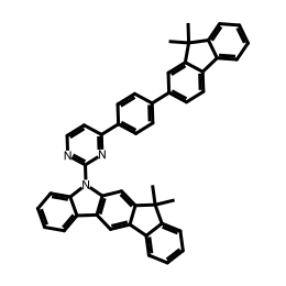 CC1(C)c2ccccc2-c2ccc(-c3ccc(-c4ccnc(-n5c6ccccc6c6cc7c(cc65)C(C)(C)c5ccccc5-7)n4)cc3)cc21